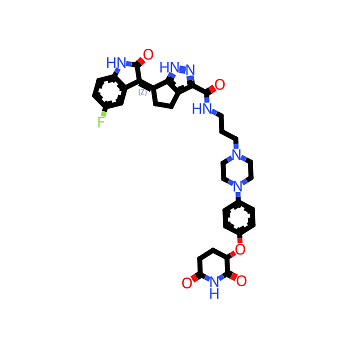 O=C1CCC(Oc2ccc(N3CCN(CCCNC(=O)c4n[nH]c5c4CC/C5=C4/C(=O)Nc5ccc(F)cc54)CC3)cc2)C(=O)N1